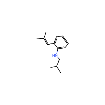 CC(C)=Cc1ccccc1NCC(C)C